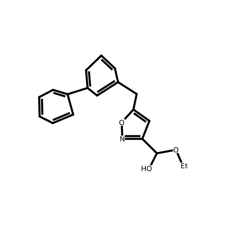 CCOC(O)c1cc(Cc2cccc(-c3ccccc3)c2)on1